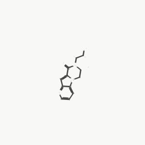 C[C@@H]1Cn2c(cc3ncccc32)C(=O)N1CCO